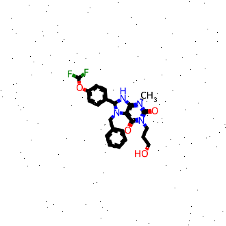 Cn1c2c(c(=O)n(CCCO)c1=O)N(Cc1ccccc1)C(c1ccc(OC(F)F)cc1)N2